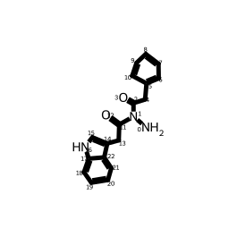 NN(C(=O)Cc1ccccc1)C(=O)Cc1c[nH]c2ccccc12